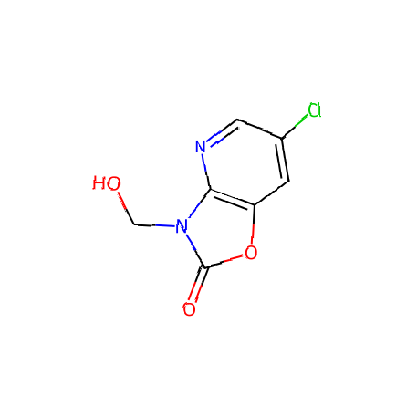 O=c1oc2cc(Cl)cnc2n1CO